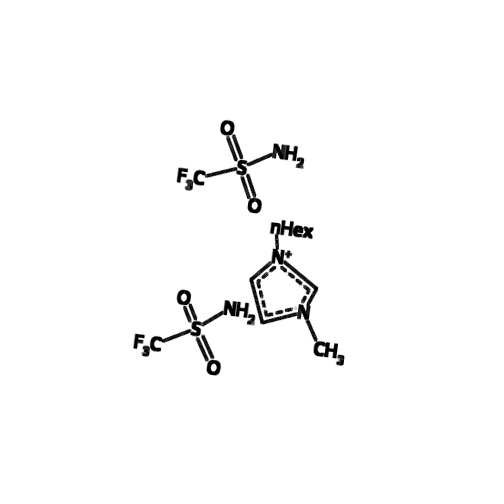 CCCCCC[n+]1ccn(C)c1.NS(=O)(=O)C(F)(F)F.NS(=O)(=O)C(F)(F)F